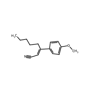 CCCCCC(=CC#N)c1ccc(OC)cc1